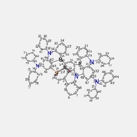 c1ccc(-c2ccccc2N2c3cc4c(cc3B3c5ccccc5N(c5ccccc5)c5cc(N(c6ccccc6)c6ccccc6)cc2c53)B2c3ccccc3N(c3ccccc3)c3cc(N(c5ccccc5)c5ccccc5)cc(c32)S4)cc1